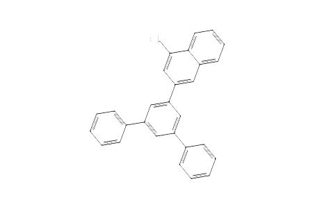 Clc1cc(-c2cc(-c3ccccc3)cc(-c3ccccc3)c2)cc2ccccc12